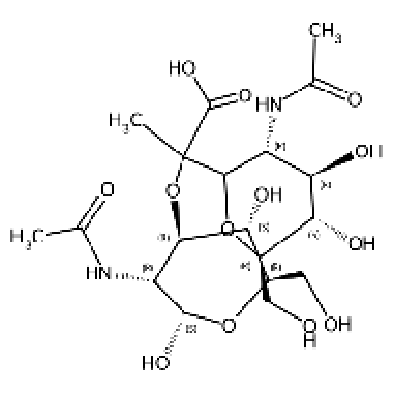 CC(=O)N[C@@H]1[C@@H](OC(C)(C(=O)O)C2O[C@H](CO)[C@@H](O)[C@H](O)[C@H]2NC(C)=O)[C@H](O)[C@@H](CO)O[C@@H]1O